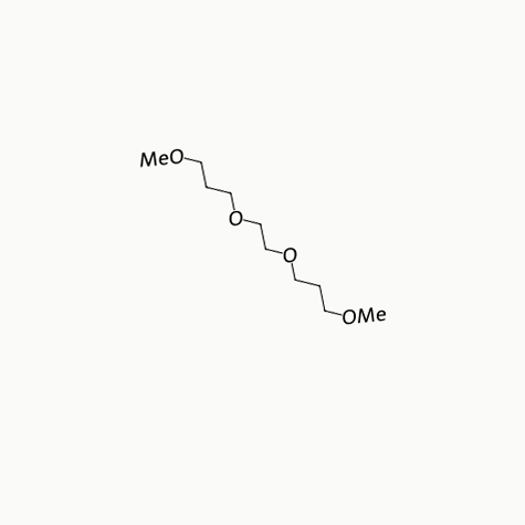 COCCCOCCOCCCOC